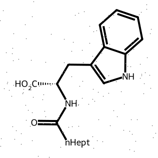 CCCCCCCC(=O)N[C@@H](Cc1c[nH]c2ccccc12)C(=O)O